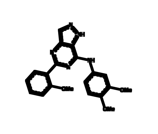 COc1ccc(Nc2nc(-c3ccccc3OC)nc3cn[nH]c23)cc1OC